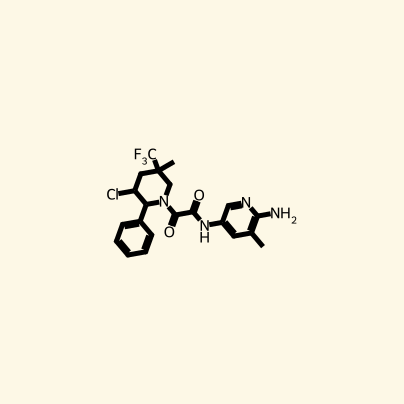 Cc1cc(NC(=O)C(=O)N2CC(C)(C(F)(F)F)CC(Cl)C2c2ccccc2)cnc1N